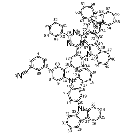 N#Cc1cccc(-c2ccc(-n3c4ccccc4c4cc(-n5c6ccccc6c6ccccc65)ccc43)c(-c3ccc(-n4c5ccccc5c5cc(-n6c7ccccc7c7ccccc76)ccc54)c(-c4nc(-c5ccccc5)nc(-c5ccccc5)n4)c3)c2)c1